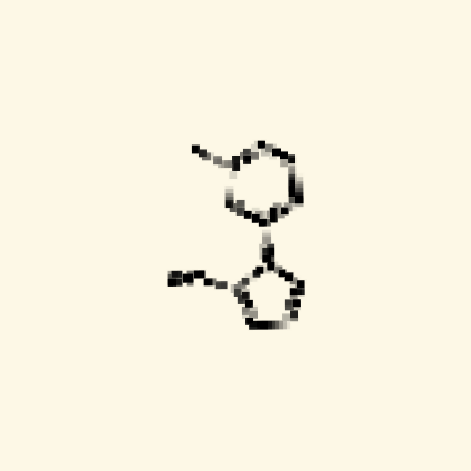 Cc1cccc([SH]2C=CC=C2C=O)c1